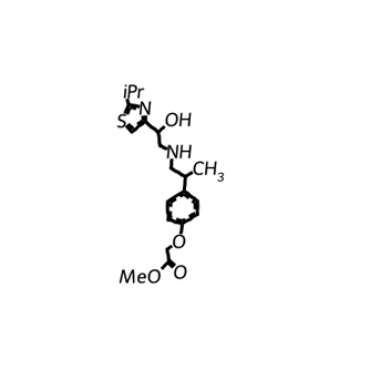 COC(=O)COc1ccc(C(C)CNCC(O)c2csc(C(C)C)n2)cc1